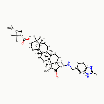 Cc1nc2ccc(CNCC[C@@]34CC[C@]5(C)[C@H](CC[C@@H]6[C@@]7(C)CC[C@H](OC(=O)[C@H]8C[C@@H](C(=O)O)C8(C)C)C(C)(C)[C@@H]7CC[C@]65C)C3=C(C(C)C)C(=O)C4)cc2[nH]1